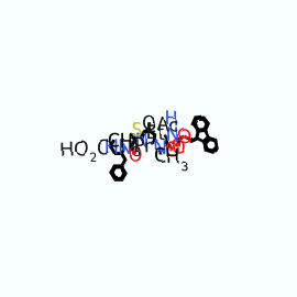 CCC(NC(=O)OCC1c2ccccc2-c2ccccc21)C(=O)N(C)C(CC(OC(C)=O)c1nc(C(=O)NC(Cc2ccccc2)CC(C)C(=O)O)cs1)C(C)C